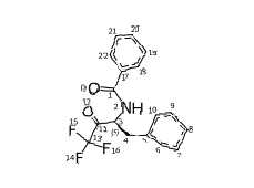 O=C(N[C@@H](Cc1ccccc1)C(=O)C(F)(F)F)c1ccccc1